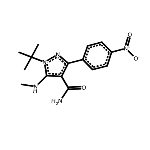 CNc1c(C(N)=O)c(-c2ccc([N+](=O)[O-])cc2)nn1C(C)(C)C